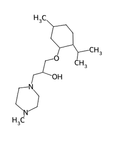 CC1CCC(C(C)C)C(OCC(O)CN2CCN(C)CC2)C1